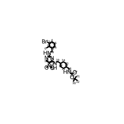 Cc1c(Br)cccc1CNc1ncc([N+](=O)[O-])c(NCC2CCC(CNC(=O)OC(C)(C)C)CC2)n1